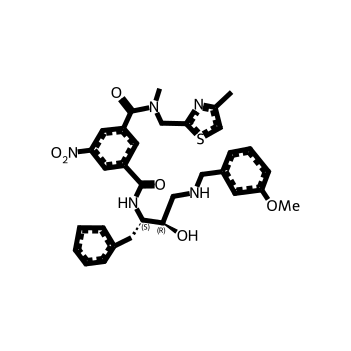 COc1cccc(CNC[C@@H](O)[C@H](Cc2ccccc2)NC(=O)c2cc(C(=O)N(C)Cc3nc(C)cs3)cc([N+](=O)[O-])c2)c1